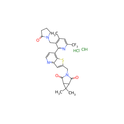 Cc1cc(C(F)(F)F)nc(-c2ccnc3cc(CN4C(=O)C5C(C4=O)C5(C)C)sc23)c1CN1CCCC1=O.Cl.Cl